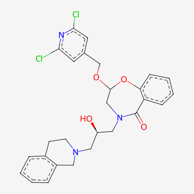 O=C1c2ccccc2OC(OCc2cc(Cl)nc(Cl)c2)CN1C[C@H](O)CN1CCc2ccccc2C1